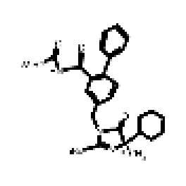 CCCCC1=N[C@](C)(C2CCCCC2)C(=O)N1Cc1ccc(-c2ccccc2)c(C(=O)NC(=O)OC)c1